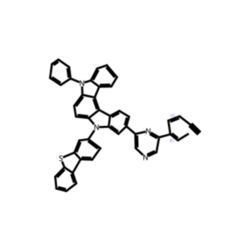 C#C/C=C\C(=C/C)c1cncc(-c2ccc3c4c5c6ccccc6n(-c6ccccc6)c5ccc4n(-c4ccc5c(c4)sc4ccccc45)c3c2)n1